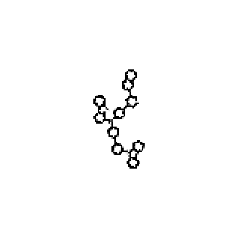 c1cc(-c2ccc(N(c3ccc(-c4cccc(-n5c6ccccc6c6ccccc65)c4)cc3)c3cccc4c3sc3ccccc34)cc2)cc(-c2ccc3ccccc3c2)c1